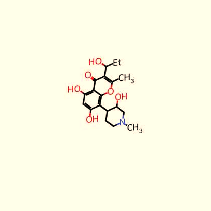 CCC(O)c1c(C)oc2c(C3CCN(C)CC3O)c(O)cc(O)c2c1=O